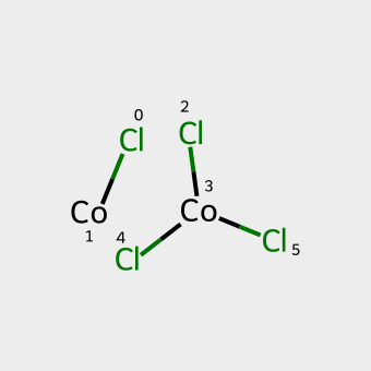 [Cl][Co].[Cl][Co]([Cl])[Cl]